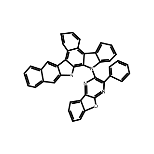 c1ccc(-c2nc3oc4ccccc4c3nc2-n2c3ccccc3c3c4ccccc4c4c5cc6ccccc6cc5sc4c32)cc1